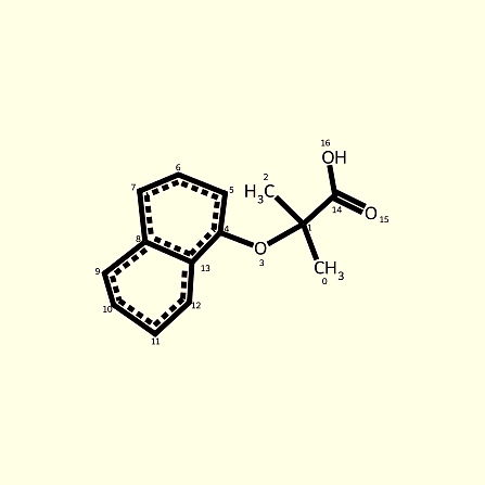 CC(C)(Oc1cccc2ccccc12)C(=O)O